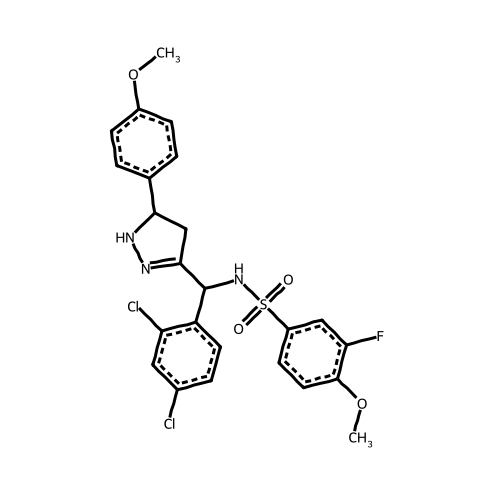 COc1ccc(C2CC(C(NS(=O)(=O)c3ccc(OC)c(F)c3)c3ccc(Cl)cc3Cl)=NN2)cc1